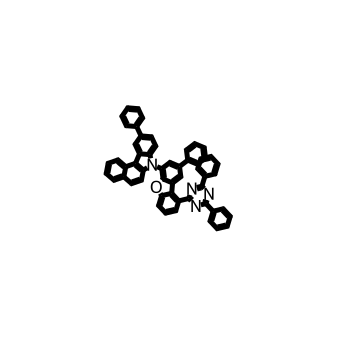 c1ccc(-c2cc(-n3c4ccc(-c5ccccc5)cc4c4c5ccccc5ccc43)c3oc4cccc(-c5nc(-c6ccccc6)nc(-c6ccccc6)n5)c4c3c2)cc1